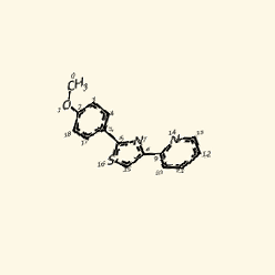 COc1ccc(-c2nc(-c3ccccn3)cs2)cc1